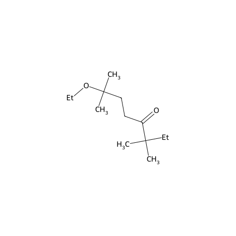 CCOC(C)(C)CCC(=O)C(C)(C)CC